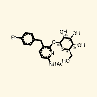 CCc1ccc(Cc2ccc(NC(C)=O)nc2O[C@@H]2S[C@H](CO)[C@@H](O)[C@H](O)[C@H]2O)cc1